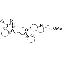 COCOc1ccc2cc(OCCCNC(=O)N(C3CC3)[C@@H]3CCCC[C@H]3OCCCO[C@@H]3CCCCO3)ccc2n1